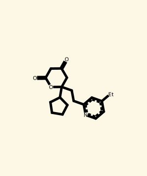 CCc1ccnc(CCC2(C3CCCC3)CC(=O)CC(=O)O2)c1